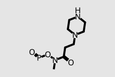 CN(OP=O)C(=O)CCN1CCNCC1